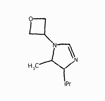 CC(C)C1N=CN(C2COC2)C1C